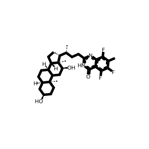 Cc1c(F)c(F)c2c(=O)[nH]c(CC[C@@H](C)[C@H]3CC[C@H]4[C@@H]5CC[C@@H]6C[C@H](O)CC[C@]6(C)C5C[C@H](O)[C@]34C)nc2c1F